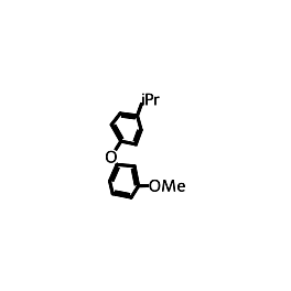 COc1cccc(Oc2ccc(C(C)C)cc2)c1